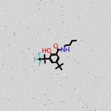 CCCCNC(=O)c1cc(C(C)(C)C)cc(C(C)(C)C(F)(F)F)c1O